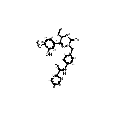 CCC1SC(=O)N(Cc2ccc(NC(=O)c3ncccn3)cc2)N=C1c1ccc(OC)c(O)c1